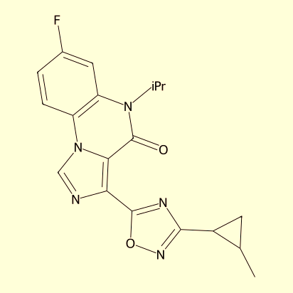 CC1CC1c1noc(-c2ncn3c2c(=O)n(C(C)C)c2cc(F)ccc23)n1